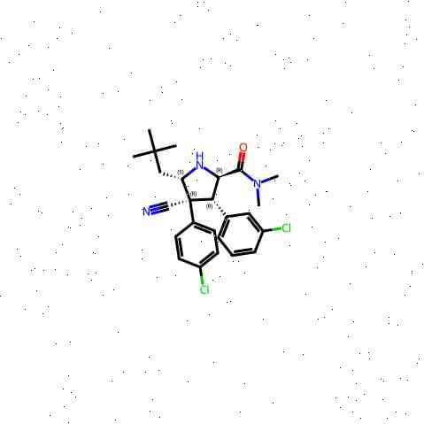 CN(C)C(=O)[C@@H]1N[C@@H](CC(C)(C)C)[C@](C#N)(c2ccc(Cl)cc2)[C@H]1c1cccc(Cl)c1